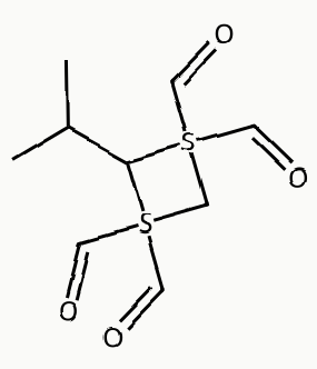 CC(C)C1S(C=O)(C=O)CS1(C=O)C=O